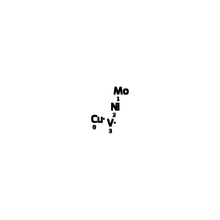 [Cu].[Mo].[Ni].[V]